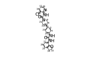 O=C(Nc1ccc(N2CCN(C(=O)Nc3ncccc3Cl)CC2)cc1)Nc1cccc2c1OCC2